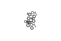 Cc1cnccc1-c1cccc2c3cccc(-c4ccncc4C)c3n(-c3cccc4c3C(=O)N(c3cccc(-c5ccccc5)c3)C4=O)c12